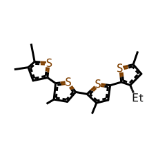 CCc1cc(C)sc1-c1cc(C)c(-c2cc(C)c(-c3cc(C)c(C)s3)s2)s1